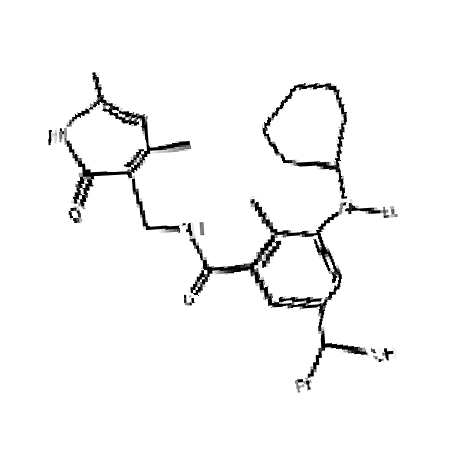 CCC(O)c1cc(C(=O)NCc2c(C)cc(C)[nH]c2=O)c(C)c(N(CC)C2CCCCC2)c1